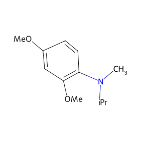 COc1ccc(N(C)C(C)C)c(OC)c1